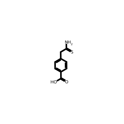 NC(=S)Cc1ccc(C(=O)O)cc1